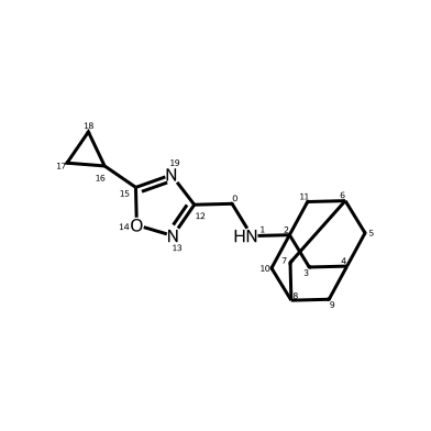 C(NC12CC3CC(CC(C3)C1)C2)c1noc(C2CC2)n1